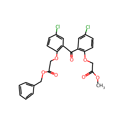 COC(=O)COc1ccc(Cl)cc1C(=O)c1cc(Cl)ccc1OCC(=O)OCc1ccccc1